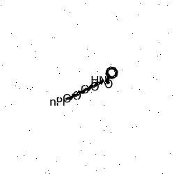 CCCOCCOCCOCCOCCNC(=O)/C1=C/CCCCCC1